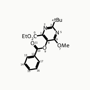 CCOC(=O)c1nc(C(C)(C)C)nc(OC)c1OC(=O)c1ccccc1